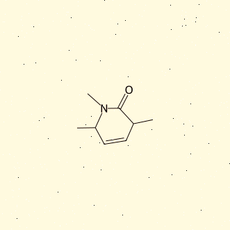 CC1C=CC(C)N(C)C1=O